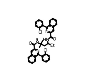 CCC(CC(C)(C)N(C)C(=O)c1cc2ccccc2c(-c2ccccc2Cl)n1)NC(=O)c1cc2ccccc2c(-c2ccccc2Cl)n1